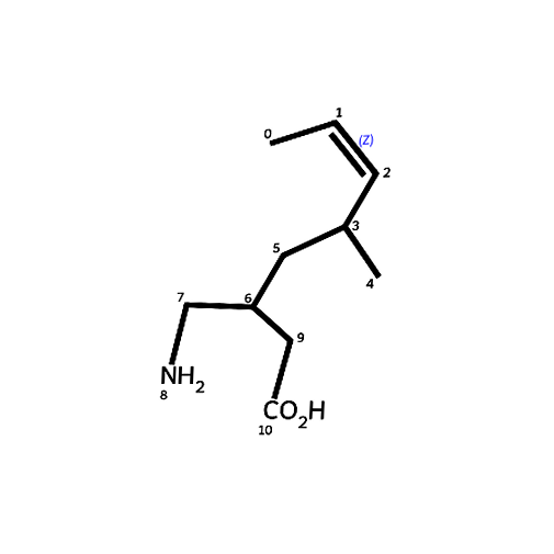 C/C=C\C(C)CC(CN)CC(=O)O